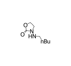 CCCCCNN1CCOC1=O